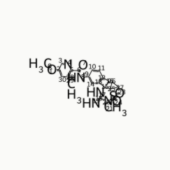 COc1cnc(C(=O)Nc2ccc3c(c2)[C@@]2(C3)NC(=N)N(C)S(=O)(=O)C23CC3)c(C)c1